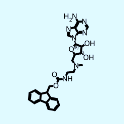 CN(CCNC(=O)OCC1c2ccccc2-c2ccccc21)CC1O[C@@H](n2cnc3c(N)ncnc32)C(O)[C@@H]1O